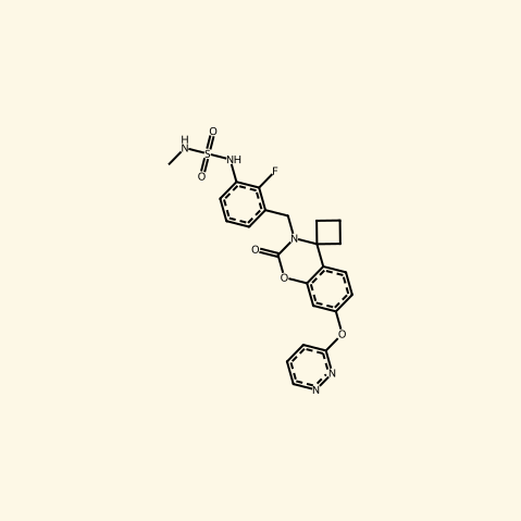 CNS(=O)(=O)Nc1cccc(CN2C(=O)Oc3cc(Oc4cccnn4)ccc3C23CCC3)c1F